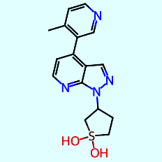 Cc1ccncc1-c1ccnc2c1cnn2C1CCS(O)(O)C1